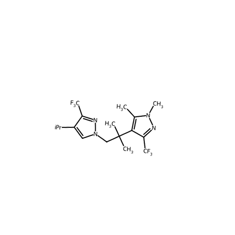 Cc1c(C(C)(C)Cn2cc(C(C)C)c(C(F)(F)F)n2)c(C(F)(F)F)nn1C